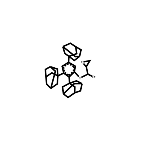 CCC(Oc1cc(C23CC4CC(CC(C4)C2)C3)cc(C23CC4CC(CC(C4)C2)C3)c1C12CC3CC(CC(C3)C1)C2)C1CO1